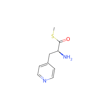 CSC(=O)[C@@H](N)Cc1ccncc1